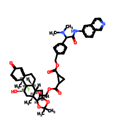 CN(C)C(C(=O)Nc1ccc2cnccc2c1)c1ccc(COC(=O)C2CC2C(=O)OCC(=O)[C@@]23OC(C)(C)O[C@@H]2C[C@H]2[C@@H]4CCC5=CC(=O)C=C[C@]5(C)[C@@]4(F)[C@@H](O)C[C@@]23C)cc1